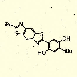 CCC(C)c1cc(O)c(-c2nc3cc4sc(C(C)C)nc4cc3s2)cc1O